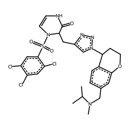 CC(C)N(C)Cc1ccc2c(c1)OCCC2n1cc(CC2C(=O)NC=CN2S(=O)(=O)c2cc(Cl)c(Cl)cc2Cl)nn1